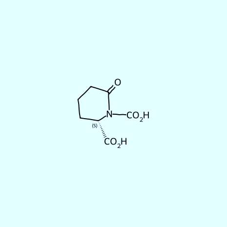 O=C(O)[C@@H]1CCCC(=O)N1C(=O)O